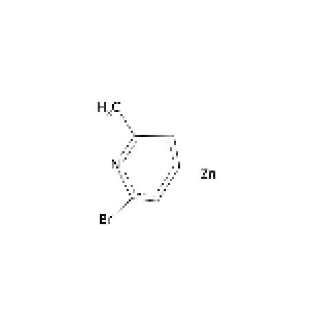 Cc1cccc(Br)n1.[Zn]